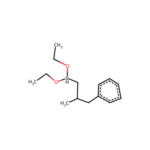 CCO[SiH](CC(C)Cc1ccccc1)OCC